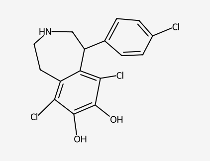 Oc1c(O)c(Cl)c2c(c1Cl)CCNCC2c1ccc(Cl)cc1